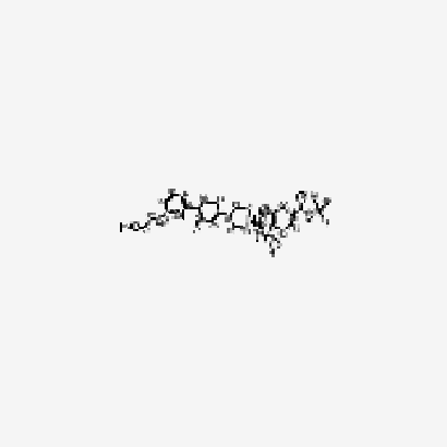 COC(=O)C1(S(=O)(=O)N2CCC(c3ccc(-c4cccc(OCCO)n4)c(C)c3)CC2)CCN(C(=O)OC(C)(C)C)CC1